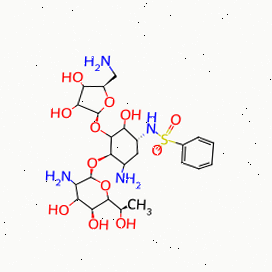 C[C@@H](O)C1O[C@H](O[C@@H]2C(N)C[C@@H](NS(=O)(=O)c3ccccc3)C(O)C2O[C@@H]2O[C@H](CN)C(O)C2O)C(N)C(O)[C@@H]1O